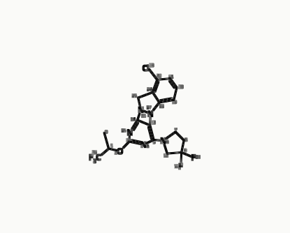 CC(Oc1nc(N2CCC(F)(F)C2)c2c(n1)n1n2-c2cccc(Cl)c2C1)C(F)(F)F